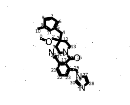 COCC1(Cc2cccc(C)c2)CCN(C(=O)c2c(C#N)cccc2Cn2ccnc2)CC1